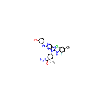 C[C@]1(C(N)=O)CC[C@H](n2c(Nc3c(F)cc(C#N)cc3Cl)nc3cnc(NC4CCCC(O)C4)nc32)CC1